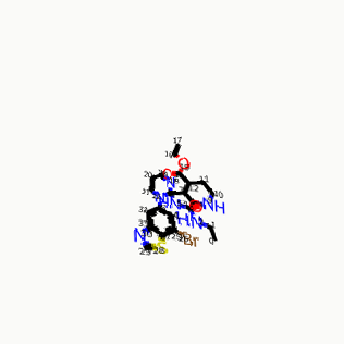 CCNC(=O)NC1(C2CNCCC2C(=O)OCC)N=CC=CN1c1cc(Br)c2scnc2c1